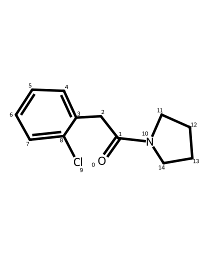 O=C(Cc1ccccc1Cl)N1CCCC1